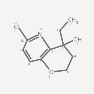 CCC1(O)CCOc2ccc(Cl)nc21